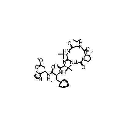 COC(=O)C[C@@H](NC(=O)[C@@H](NC(=O)[C@@H](/N=C1\NCC(=O)N2CC[C@@H](C)[C@H]2C(=O)N[C@@H](C(C)C)C(=O)N[C@H]1C(C)(C)C)C(C)(C)C)[C@@H](C)c1ccccc1)c1nccs1